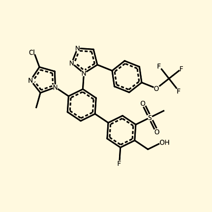 Cc1nc(Cl)cn1-c1ccc(-c2cc(F)c(CO)c(S(C)(=O)=O)c2)cc1-n1nncc1-c1ccc(OC(F)(F)F)cc1